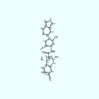 O=C(Nc1cc(Cl)c(-c2cnc3nsnc3c2)cc1F)N1[C@H]2CC[C@@H]1c1n[nH]c(=O)cc1C2